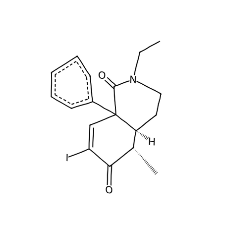 CCN1CC[C@H]2[C@H](C)C(=O)C(I)=CC2(c2ccccc2)C1=O